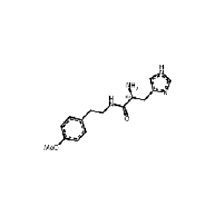 COc1ccc(CCNC(=O)[C@@H](N)Cc2c[nH]cn2)cc1